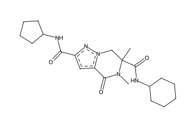 CN1C(=O)c2cc(C(=O)NC3CCCC3)nn2CC1(C)C(=O)NC1CCCCC1